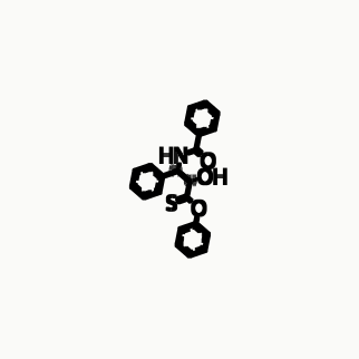 O=C(N[C@H](c1ccccc1)[C@H](O)C(=S)Oc1ccccc1)c1ccccc1